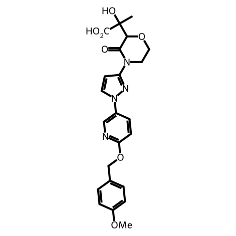 COc1ccc(COc2ccc(-n3ccc(N4CCOC(C(C)(O)C(=O)O)C4=O)n3)cn2)cc1